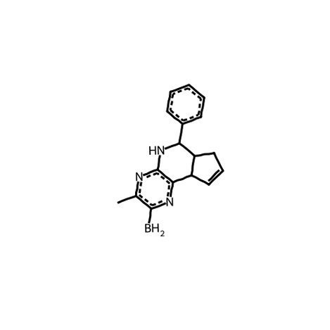 Bc1nc2c(nc1C)NC(c1ccccc1)C1CC=CC21